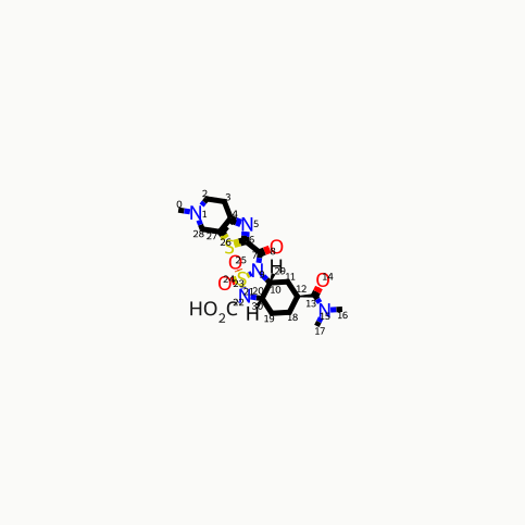 CN1CCc2nc(C(=O)N3[C@@H]4C[C@@H](C(=O)N(C)C)CC[C@@H]4N(C(=O)O)S3(=O)=O)sc2C1